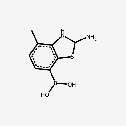 Cc1ccc(B(O)O)c2c1NC(N)S2